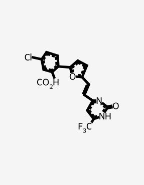 O=C(O)c1cc(Cl)ccc1-c1ccc(C=Cc2cc(C(F)(F)F)[nH]c(=O)n2)o1